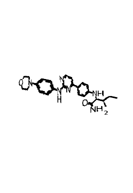 CC[C@@H](C)[C@H](Nc1ccc(-c2ccnc(Nc3ccc(N4CCOCC4)cc3)n2)cc1)C(N)=O